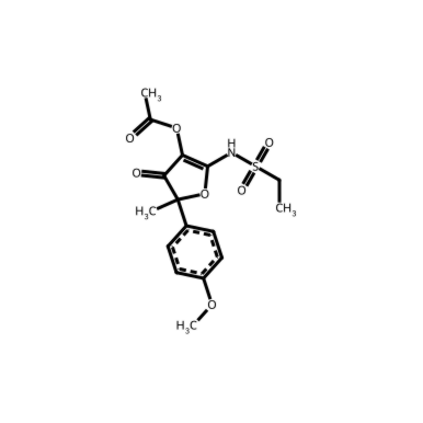 CCS(=O)(=O)NC1=C(OC(C)=O)C(=O)C(C)(c2ccc(OC)cc2)O1